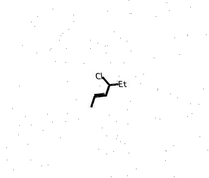 [CH2]CC(Cl)/C=C/C